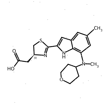 Cc1cc(N(C)C2CCOCC2)c2[nH]c(C3=N[C@@H](CC(=O)O)CS3)cc2c1